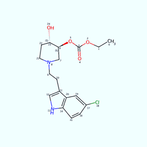 CCOC(=O)O[C@H]1CN(CCc2c[nH]c3ccc(Cl)cc23)CC[C@@H]1O